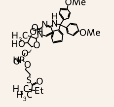 CCC(C)(C)C(=O)SCCO[PH](=O)OC[C@H]1OC(n2ccc(NC(c3ccccc3)(c3ccc(OC)cc3)c3ccc(OC)cc3)nc2=O)[C@@](C)(O)C1O